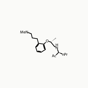 CCC[C@H](NC[C@@H](C)Oc1ccccc1CCCNC)C(C)=O